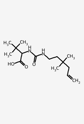 C=CCC(C)(C)CCNC(=O)NC(C(=O)O)C(C)(C)C